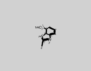 O=C(O)c1cccc2nc(I)[nH]c12